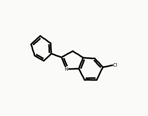 Clc1ccc2c(c1)CC(c1ccccc1)=N2